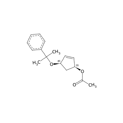 CC(=O)O[C@@H]1C=C[C@H](OC(C)(C)c2ccccc2)C1